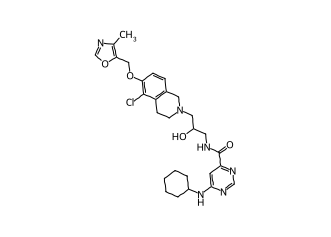 Cc1ncoc1COc1ccc2c(c1Cl)CCN(CC(O)CNC(=O)c1cc(NC3CCCCC3)ncn1)C2